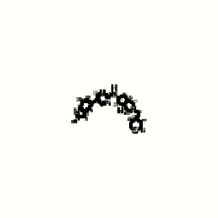 Cn1cc2cc(-c3cnc(N[C@@H]4CC5CN(CC6CCOCC6)C[C@H]5C4)nc3)ccc2n1